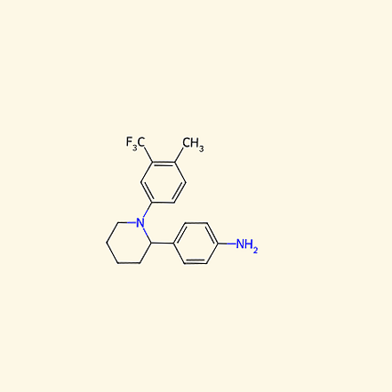 Cc1ccc(N2CCCCC2c2ccc(N)cc2)cc1C(F)(F)F